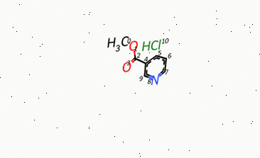 COC(=O)c1cccnc1.Cl